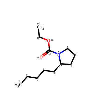 CCCCC[C@@H]1CCCN1C(=O)OCC